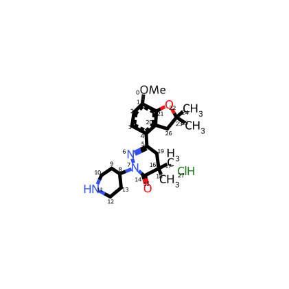 COc1ccc(C2=NN(C3CCNCC3)C(=O)C(C)(C)C2)c2c1OC(C)(C)C2.Cl